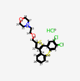 Cl.Clc1cc2c(cc1Cl)-c1sc(COCCN3CCOCC3)cc1-c1ccccc1S2